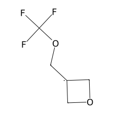 FC(F)(F)OC[C]1COC1